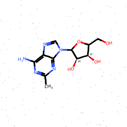 Cc1nc(N)c2ncn(C3OC(CO)[C@@H](O)[C@H]3O)c2n1